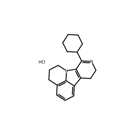 Cl.c1cc2c3c(c1)c1c(n3CCC2)C(C2CCCCC2)=NCC1